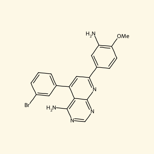 COc1ccc(-c2cc(-c3cccc(Br)c3)c3c(N)ncnc3n2)cc1N